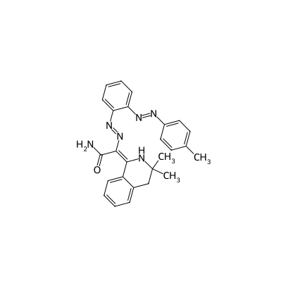 Cc1ccc(N=Nc2ccccc2N=NC(C(N)=O)=C2NC(C)(C)Cc3ccccc32)cc1